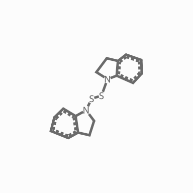 c1ccc2c(c1)CCN2SSN1CCc2ccccc21